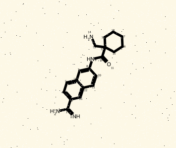 N=C(N)c1ccc2cc(NC(=O)C3(CN)CCCCC3)ccc2c1